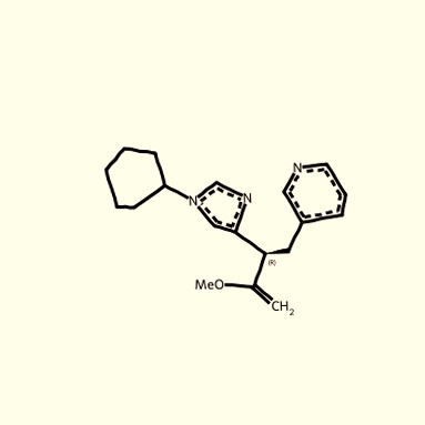 C=C(OC)[C@H](Cc1cccnc1)c1cn(C2CCCCC2)cn1